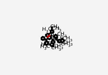 Cc1cc2c3c(c1)N(c1ccc(C(C)(C)C)cc1-c1ccccc1)c1ccc(N(c4ccccc4)c4ccccc4)cc1B3c1cc3c(cc1N2c1ccc2c(c1)C(C)(C)CC2(C)C)C(C)(C)CC3(C)C